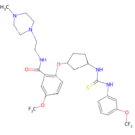 CN1CCN(CCNC(=O)c2cc(OC(F)(F)F)ccc2OC2CCC(NC(=S)Nc3cccc(OC(F)(F)F)c3)C2)CC1